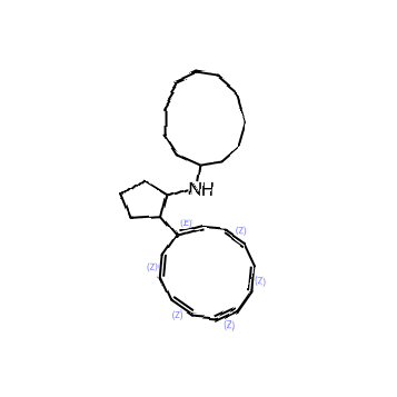 C1=C\C=C/C=C\C(C2CCCC2NC2CCCCCCCCCC2)=C/C=C\C=C/1